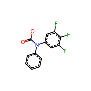 [O]C(=O)N(c1ccccc1)c1cc(F)c(F)c(F)c1